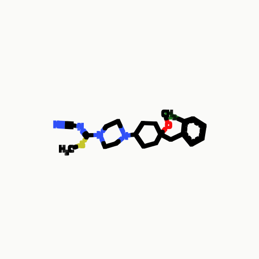 COC1(Cc2ccccc2Cl)CCC(N2CCN(C(=NC#N)SC)CC2)CC1